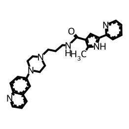 Cc1[nH]c(-c2ccccn2)cc1C(=O)NCCCN1CCN(c2ccc3ncccc3c2)CC1